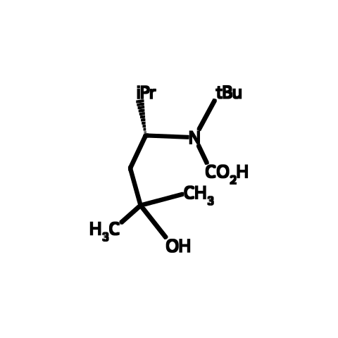 CC(C)[C@@H](CC(C)(C)O)N(C(=O)O)C(C)(C)C